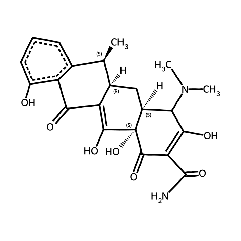 C[C@@H]1c2cccc(O)c2C(=O)C2=C(O)[C@]3(O)C(=O)C(C(N)=O)=C(O)C(N(C)C)[C@@H]3C[C@@H]21